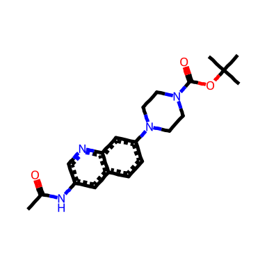 CC(=O)Nc1cnc2cc(N3CCN(C(=O)OC(C)(C)C)CC3)ccc2c1